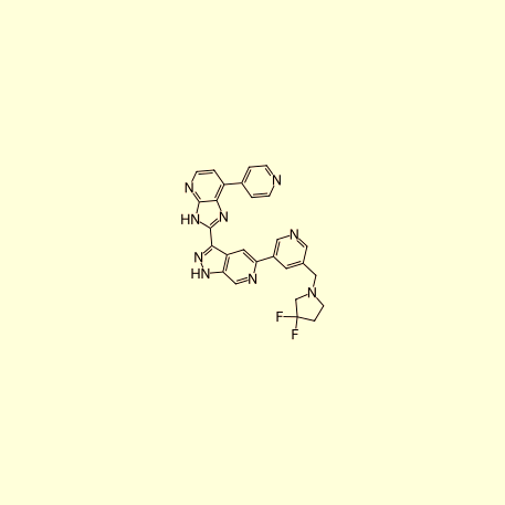 FC1(F)CCN(Cc2cncc(-c3cc4c(-c5nc6c(-c7ccncc7)ccnc6[nH]5)n[nH]c4cn3)c2)C1